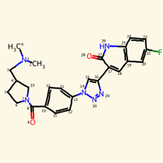 CN(C)CC1CCN(C(=O)c2ccc(-n3cc(-c4cc5cc(F)ccc5[nH]c4=O)nn3)cc2)C1